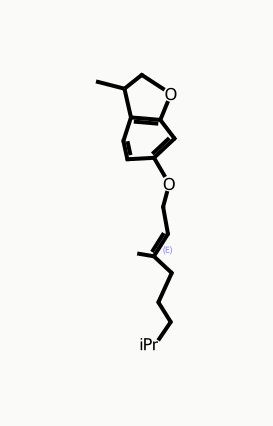 C/C(=C\COc1ccc2c(c1)OCC2C)CCCC(C)C